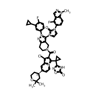 Cn1ncc2c(F)c(-n3ccn(-c4c5c(nn4-c4ccc(F)c(C6CC6)c4)CCN(C(=O)c4c(Cl)c6cc([C@@H]7CCOC(C)(C)C7)ccn6c4C4(c6noc(=O)[nH]6)CC4)C5)c3=O)ccc21